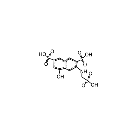 O=S(=O)(O)CNc1cc2c(O)cc(S(=O)(=O)O)cc2cc1S(=O)(=O)O